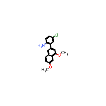 COc1ccc2cc(-c3cc(Cl)ccc3N)cc(OC)c2c1